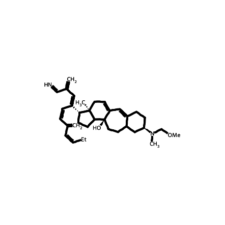 C=C(/C=C\CC)/C=C\C(=C/C(=C)C=N)[C@H]1CCC2[C@@]3(O)CCC4C[C@H](N(C)COC)CCC4=CC3=CC[C@@]21C